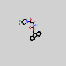 C[C@@H](CC(=O)N1CCC(F)(F)CC1)NC(=O)OCC1c2ccccc2-c2ccccc21